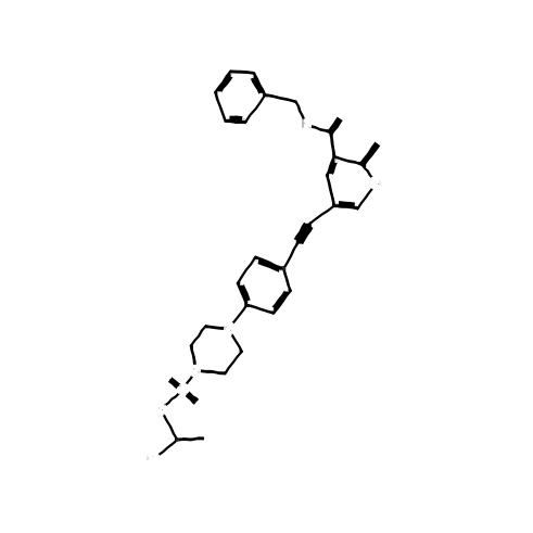 CC(C)C(NS(=O)(=O)N1CCN(c2ccc(C#Cc3c[nH]c(=O)c(C(=O)NCc4ccccc4)c3)cc2)CC1)C(=O)O